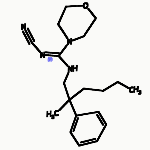 CCCCC(C)(CN/C(=N/C#N)N1CCOCC1)c1ccccc1